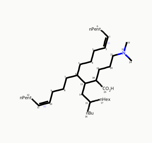 CCCCC/C=C\CCCC(CCC/C=C\CCCCC)C(CC(CCCC)CCCCCC)C(CCCN(C)C)C(=O)O